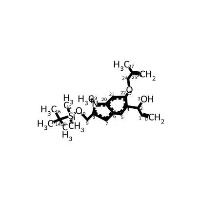 C=CC(O)c1cc2cc(CO[Si](C)(C)C(C)(C)C)n(C)c2cc1OCC(=C)C